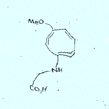 COc1cccc(NCC(=O)O)c1